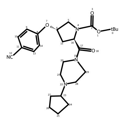 CC(C)(C)OC(=O)N1C[C@@H](Oc2ccc(C#N)cc2)C[C@@H]1C(=O)N1CCN(C2CCCC2)CC1